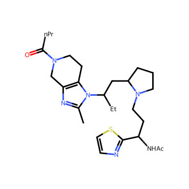 CCCC(=O)N1CCc2c(nc(C)n2C(CC)CC2CCCN2CCC(NC(C)=O)c2nccs2)C1